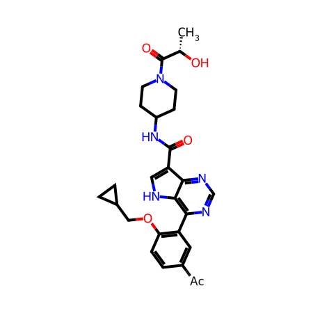 CC(=O)c1ccc(OCC2CC2)c(-c2ncnc3c(C(=O)NC4CCN(C(=O)[C@H](C)O)CC4)c[nH]c23)c1